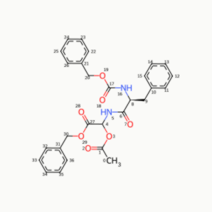 CC(=O)OC(NC(=O)[C@H](Cc1ccccc1)NC(=O)OCc1ccccc1)C(=O)OCc1ccccc1